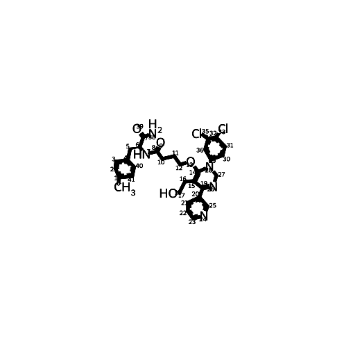 Cc1ccc(C[C@H](NC(=O)CCCOC2=C(CCO)C(c3cccnc3)=NCN2c2ccc(Cl)c(Cl)c2)C(N)=O)cc1